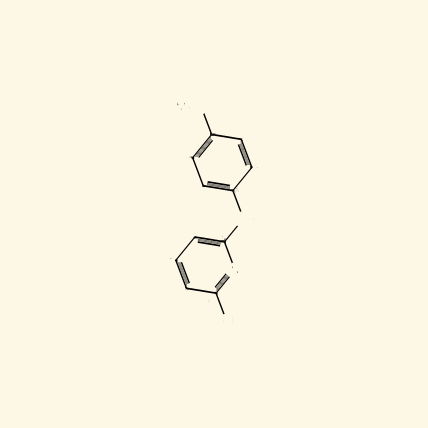 COc1ccc(Oc2cccc(C(F)(F)F)n2)cc1